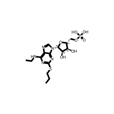 CCCSc1nc(NCC)c2ncn([C@@H]3O[C@H](COP(=O)(O)O)[C@@H](O)[C@H]3O)c2n1